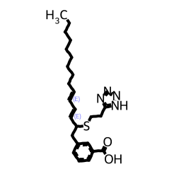 CCCCCCCCC/C=C/C=C/C(Cc1cccc(C(=O)O)c1)SCCc1nnn[nH]1